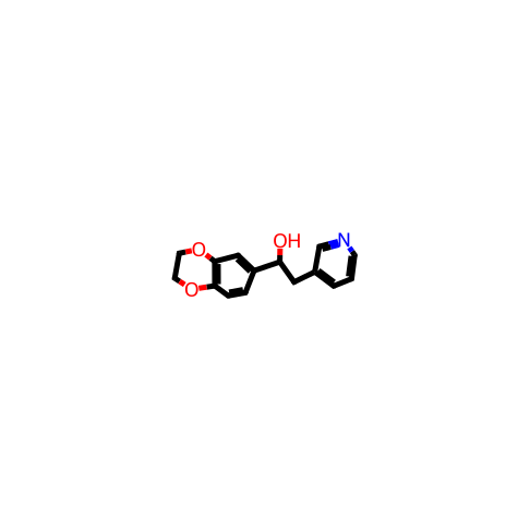 OC(Cc1cccnc1)c1ccc2c(c1)OCCO2